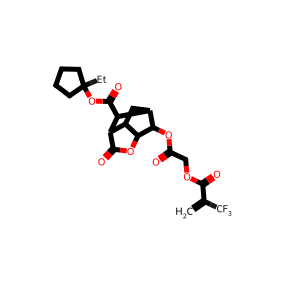 C=C(C(=O)OCC(=O)OC1C2CC3C1OC(=O)C3C2C(=O)OC1(CC)CCCC1)C(F)(F)F